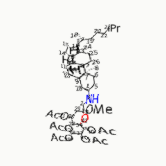 CO[C@@]1(CNC2CC[C@@]3(C)C(CC[C@H]4[C@@H]5CC[C@H]([C@H](C)CCCC(C)C)[C@@]5(C)CC[C@@H]43)C2)C[C@H](OC(C)=O)[C@@H](OC(C)=O)[C@H]([C@H](OC(C)=O)[C@H](COC(C)=O)OC(C)=O)O1